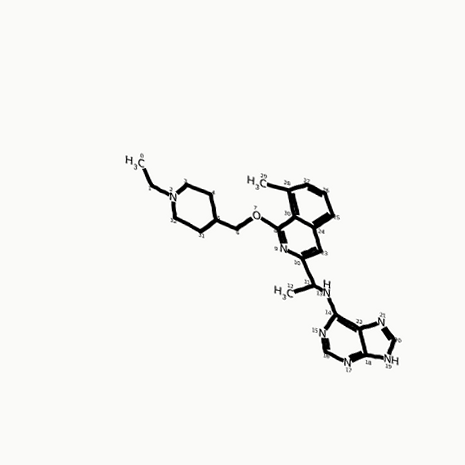 CCN1CCC(COc2nc(C(C)Nc3ncnc4[nH]cnc34)cc3cccc(C)c23)CC1